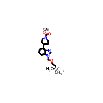 CC(C)(C)OC(=O)N1CC=C(c2cccc3c2ncn3COCC[Si](C)(C)C)CC1